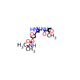 Cc1occc1C(=O)Nc1cc(C2C[C@@H](OC(=O)NC(C)C)CO2)[nH]n1